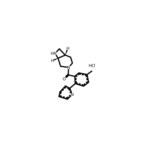 Cc1ccc(-c2ccccn2)c(C(=O)N2CC[C@H]3CN[C@H]3C2)c1.Cl